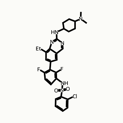 CCc1cc(-c2c(F)ccc(NS(=O)(=O)c3ccccc3Cl)c2F)cc2cnc(NC3CCC(N(C)C)CC3)nc12